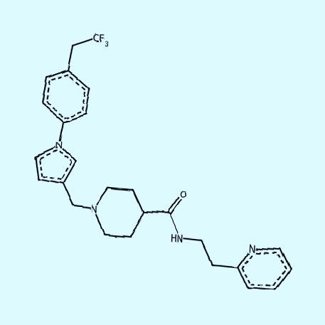 O=C(NCCc1ccccn1)C1CCN(Cc2ccn(-c3ccc(CC(F)(F)F)cc3)c2)CC1